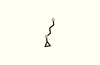 [O]CCCOC1CC1